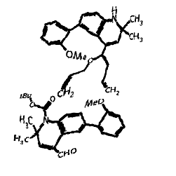 C=CCOC(CC=C)C1=CC(C)(C)Nc2ccc(-c3ccccc3OC)cc21.COc1ccccc1-c1ccc2c(c1)C(C=O)=CC(C)(C)N2C(=O)OC(C)(C)C